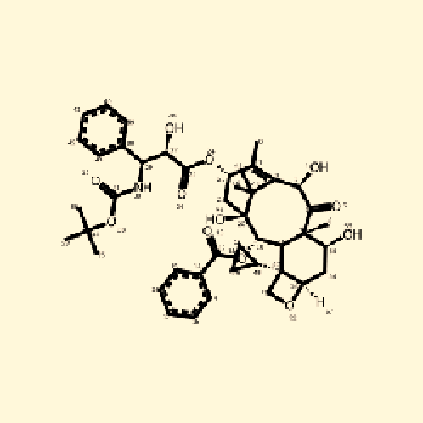 CC1=C2[C@@H](O)C(=O)[C@@]3(C)C([C@H](OC(=O)c4ccccc4)[C@](O)(C[C@@H]1OC(=O)[C@H](O)[C@@H](NC(=O)OC(C)(C)C)c1ccccc1)C2(C)C)[C@]1(C2CC2)CO[C@@H]1C[C@@H]3O